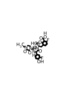 CCN1CCN(C(=O)NC(C(=O)N[C@H]2Cc3ccc(F)c(C(=O)O)c3OB2O)c2ccc(O)c(F)c2)C(=O)C1=O